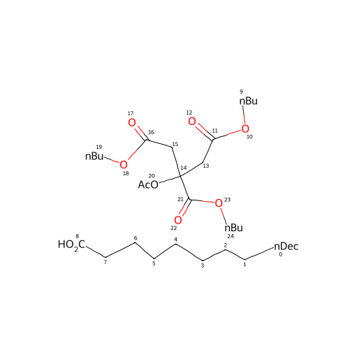 CCCCCCCCCCCCCCCCCC(=O)O.CCCCOC(=O)CC(CC(=O)OCCCC)(OC(C)=O)C(=O)OCCCC